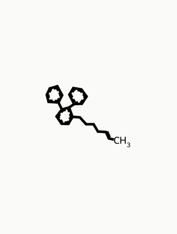 CC=CCCCCc1cccc(-c2ccccc2)c1-c1ccccc1